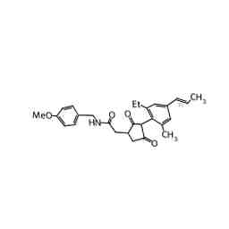 C/C=C/c1cc(C)c(C2C(=O)CC(CC(=O)NCc3ccc(OC)cc3)C2=O)c(CC)c1